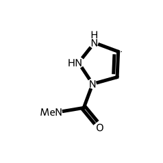 CNC(=O)N1C=[C]NN1